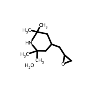 CC1(C)CC(CC2CO2)CC(C)(C)N1.O